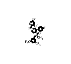 Cc1cc(F)ccc1[C@@H]1CN(C(=O)c2ccc(Br)cn2)CC[C@H]1C(=O)N(C)Cc1cc(C(F)(F)F)cc(C(F)(F)F)c1